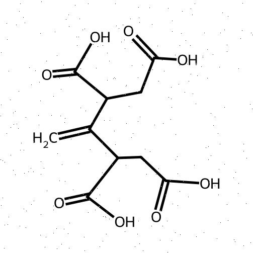 C=C(C(CC(=O)O)C(=O)O)C(CC(=O)O)C(=O)O